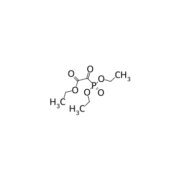 CCOC(=O)C(=O)P(=O)(OCC)OCC